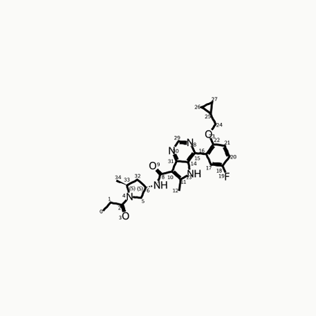 CCC(=O)N1C[C@@H](NC(=O)c2c(C)[nH]c3c(-c4cc(F)ccc4OCC4CC4)ncnc23)C[C@@H]1C